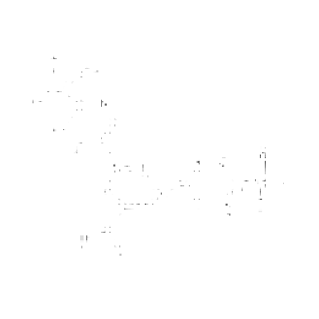 CNC(=O)c1cc(-c2cnc(S(C)(=O)=O)nc2)cc(-c2cnc(S(C)(=O)=O)nc2)c1